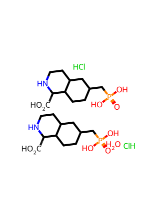 Cl.Cl.O.O=C(O)C1NCCC2CC(CP(=O)(O)O)CCC21.O=C(O)C1NCCC2CC(CP(=O)(O)O)CCC21